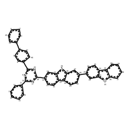 c1ccc(-c2ccc(-c3nc(-c4ccccc4)nc(-c4ccc5c(c4)sc4cc(-c6ccc7c(c6)oc6ccccc67)ccc45)n3)cc2)cc1